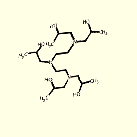 CC(O)CN(CCN(CC(C)O)CC(C)O)CCN(CC(C)O)CC(C)O